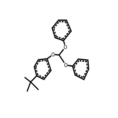 CC(C)(C)c1ccc(OC(Oc2ccccc2)Oc2ccccc2)cc1